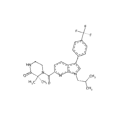 CC(C)Cn1cc(-c2ccc(C(F)(F)F)cc2)c2ccc(C(=O)N3CCNC(=O)C3(C)C)nc21